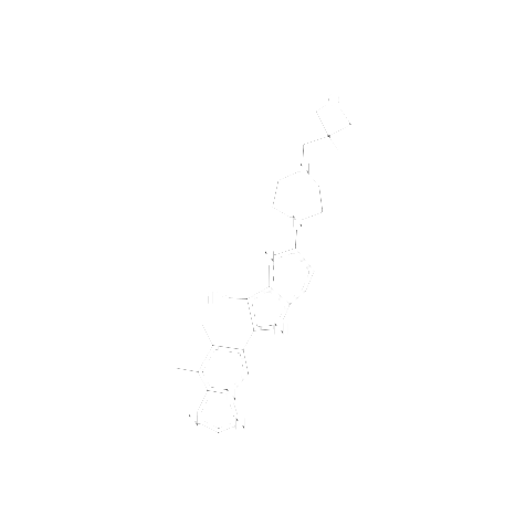 Cc1c(-c2[nH]c3ccc(N4CCN(CC5(C)COC5)CC4)nc3c2C(C)C)cn2ncnc2c1C